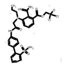 CCCN(CC(=O)Nc1ccc(-c2ccccc2S(N)(=O)=O)cc1)c1cccc(C(=O)OCC(Cl)(Cl)Cl)c1C(=N)N